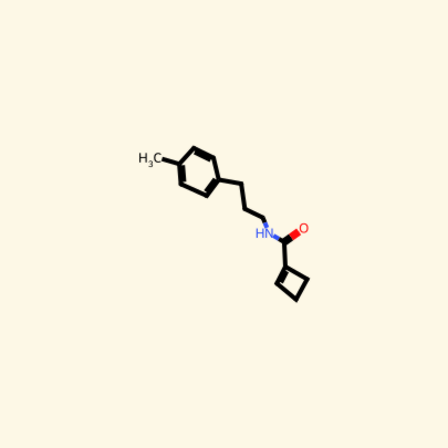 Cc1ccc(CCCNC(=O)C2=CCC2)cc1